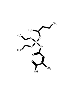 CCCC(C)O[Si](NC(=O)C=C(C)C(=O)O)(OCC)OCC